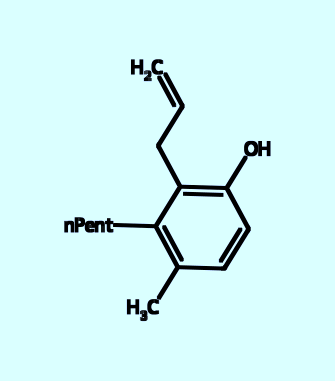 C=CCc1c(O)ccc(C)c1CCCCC